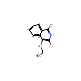 CCOc1c(Br)nc(Cl)c2ccccc12